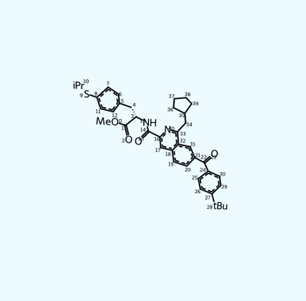 COC(=O)[C@H](Cc1ccc(SC(C)C)cc1)NC(=O)c1cc2ccc(C(=O)c3ccc(C(C)(C)C)cc3)cc2c(CC2CCCC2)n1